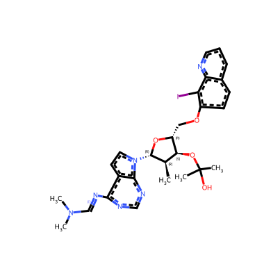 C[C@@H]1[C@H](OC(C)(C)O)[C@@H](COc2ccc3cccnc3c2I)O[C@H]1n1ccc2c(/N=C/N(C)C)ncnc21